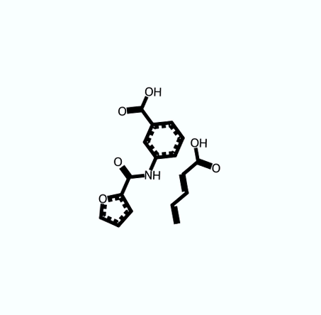 C=CC=CC(=O)O.O=C(O)c1cccc(NC(=O)c2ccco2)c1